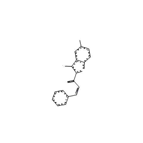 Nc1c(C(=O)/C=C\c2ccccc2)oc2ccc(Br)cc12